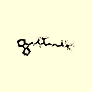 CC(C)(C)OC(=O)CCSCCC(NC(=O)OCC1c2ccccc2-c2ccccc21)C(=O)O